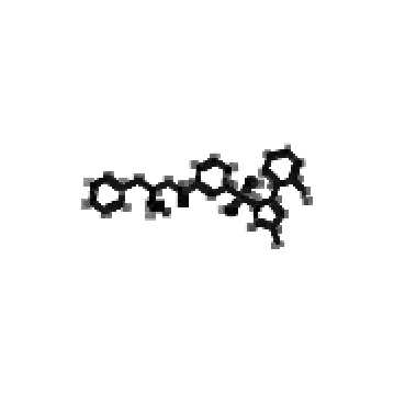 [CH2]c1cc(-c2ccccc2F)n(S(=O)(=O)c2cccc(NC[C@@H](N)Cc3ccccc3)c2)c1